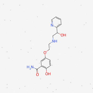 NC(=O)c1cc(OCCNCC(O)c2ccccn2)ccc1O